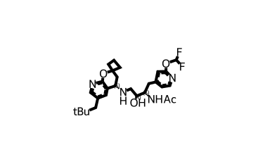 CC(=O)N[C@@H](Cc1ccnc(OC(F)F)c1)[C@H](O)CN[C@H]1CC2(CCC2)Oc2ncc(CC(C)(C)C)cc21